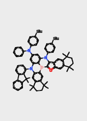 CC(C)(C)c1ccc(N(c2ccccc2)c2cc3c4c(c2)N(c2ccc(C(C)(C)C)cc2)c2c(oc5cc6c(cc25)C(C)(C)CCC6(C)C)B4c2cc4c(cc2N3c2cccc3c2C(C)(C)c2ccccc2-3)C(C)(C)CCC4(C)C)cc1